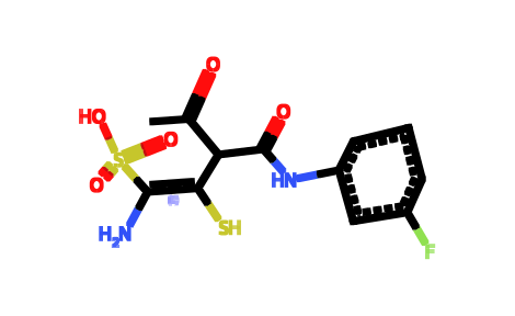 CC(=O)C(C(=O)Nc1cccc(F)c1)/C(S)=C(/N)S(=O)(=O)O